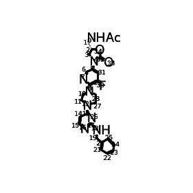 CC(=O)NC[C@H]1CN(c2cnc(N3CCN(c4ccnc(NCc5ccccc5)n4)CC3)c(F)c2)C(=O)O1